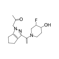 C=C(c1nn(CC(C)=O)c2c1CCC2)N1CCC(O)C(F)C1